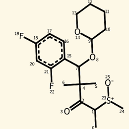 CC(C(=O)C(C)(C)C(OC1CCCCO1)c1ccc(F)cc1F)[S+](C)[O-]